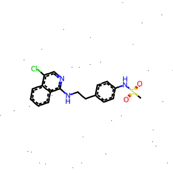 CS(=O)(=O)Nc1ccc(CCNc2ncc(Cl)c3ccccc23)cc1